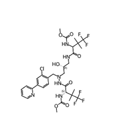 COC(=O)NC(C(=O)NC[C@@H](O)CN(Cc1ccc(-c2ccccn2)cc1Cl)NC(=O)[C@@H](NC(=O)OC)C(C)(C)C(F)(F)F)C(C)(C)C(F)(F)F